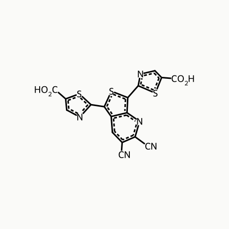 N#Cc1cc2c(-c3ncc(C(=O)O)s3)sc(-c3ncc(C(=O)O)s3)c2nc1C#N